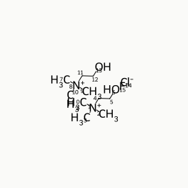 C[N+](C)(C)CCO.C[N+](C)(C)CCO.[Cl-].[F-]